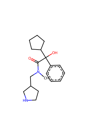 CN(CC1CCNC1)C(=O)C(O)(c1ccccc1)C1CCCC1